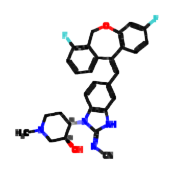 CN1CC[C@H](n2c(=NC#N)[nH]c3cc(C=C4c5ccc(F)cc5OCc5c(F)cccc54)ccc32)[C@@H](O)C1